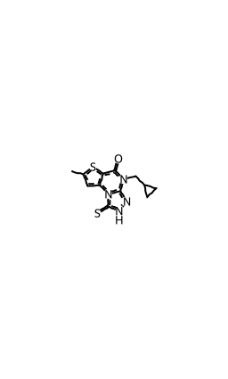 Cc1cc2c(s1)c(=O)n(CC1CC1)c1n[nH]c(=S)n21